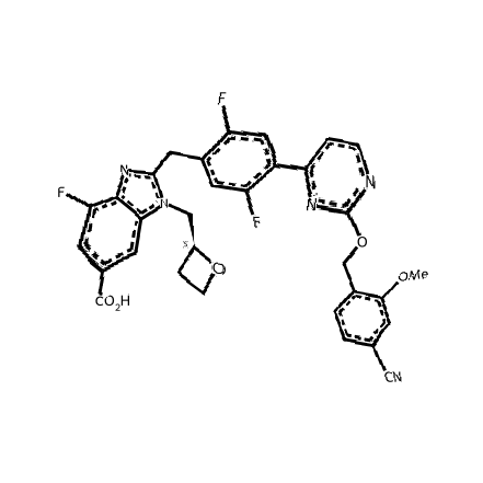 COc1cc(C#N)ccc1COc1nccc(-c2cc(F)c(Cc3nc4c(F)cc(C(=O)O)cc4n3C[C@@H]3CCO3)cc2F)n1